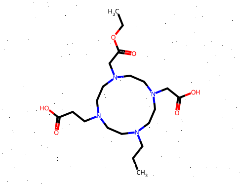 CCCN1CCN(CCC(=O)O)CCN(CC(=O)OCC)CCN(CC(=O)O)CC1